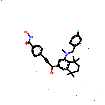 CN(Cc1ccc(F)cc1)c1cc(C(O)C#Cc2ccc(C(=O)NO)cc2)cc2c1C(C)(C)CCC2(C)C